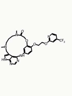 CN1CCCN(C)C(=O)COc2cc(ccc2OCCOc2cc(C(F)(F)F)ccn2)Nc2ncnc3[nH]cc(c23)C1